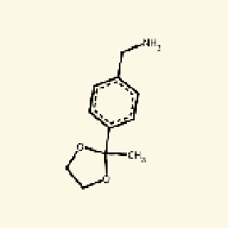 CC1(c2ccc(CN)cc2)OCCO1